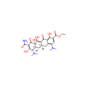 CCOC(=O)c1cc(N(C)C)c2c(c1O)C(=O)C1=C(O)[C@]3(O)C(=O)C(C(N)=O)=C(O)[C@@H](N(C)C)[C@@H]3C[C@@H]1C2